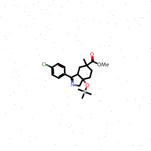 COC(=O)C1(C)CCC2(O[Si](C)(C)C)CN=C(c3ccc(Cl)cc3)C2C1